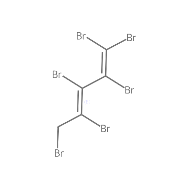 BrC/C(Br)=C(\Br)C(Br)=C(Br)Br